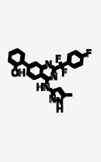 Cc1cc(Nc2nc(C(F)(F)c3ccc(F)cc3)nc3cc(-c4ccccc4O)ccc23)n[nH]1